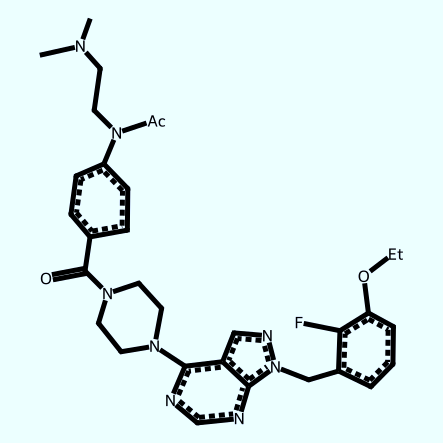 CCOc1cccc(Cn2ncc3c(N4CCN(C(=O)c5ccc(N(CCN(C)C)C(C)=O)cc5)CC4)ncnc32)c1F